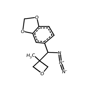 CC1(C(N=[N+]=[N-])c2ccc3c(c2)OCO3)COC1